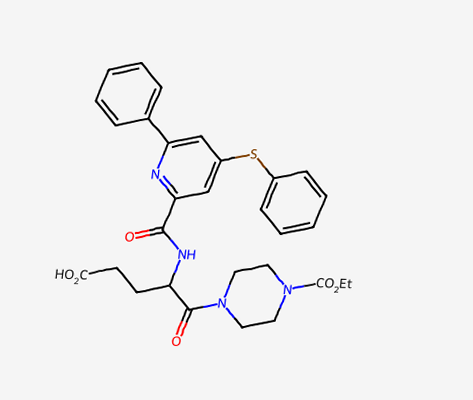 CCOC(=O)N1CCN(C(=O)C(CCC(=O)O)NC(=O)c2cc(Sc3ccccc3)cc(-c3ccccc3)n2)CC1